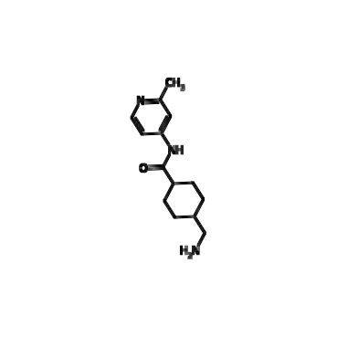 Cc1cc(NC(=O)C2CCC(CN)CC2)ccn1